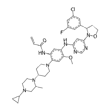 C=CC(=O)Nc1cc(Nc2cc(N3OCCC3c3cc(F)cc(Cl)c3)ncn2)c(OC)cc1N1CCC(N2CCN(C3CC3)CC2C)CC1